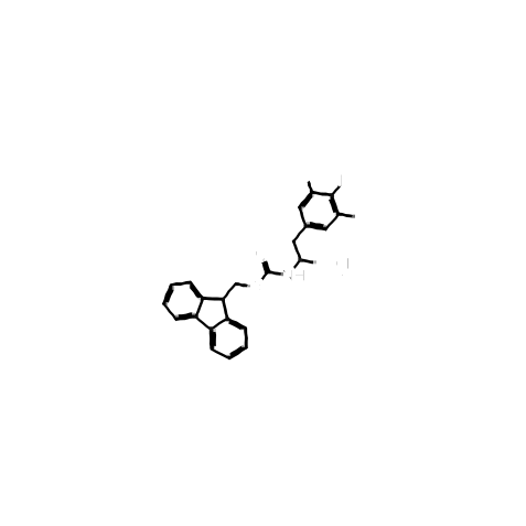 O=C(NC(Cc1cc(F)c(F)c(F)c1)C(=O)O)OCC1c2ccccc2-c2ccccc21